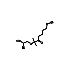 CCCCC(CC)COC(C)(C)C(=O)CCCCOC(C)C